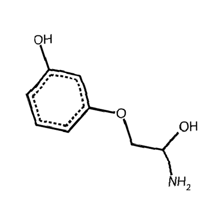 NC(O)COc1cccc(O)c1